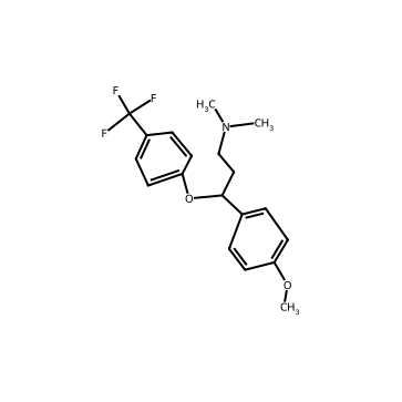 COc1ccc(C(CCN(C)C)Oc2ccc(C(F)(F)F)cc2)cc1